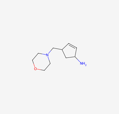 NC1C=CC(CN2CCOCC2)C1